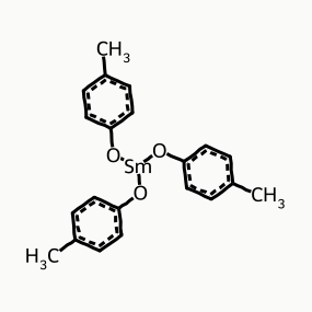 Cc1ccc([O][Sm]([O]c2ccc(C)cc2)[O]c2ccc(C)cc2)cc1